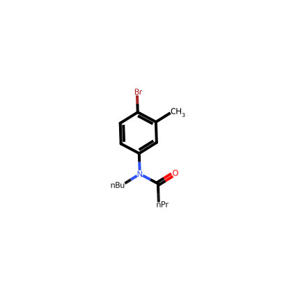 CCCCN(C(=O)CCC)c1ccc(Br)c(C)c1